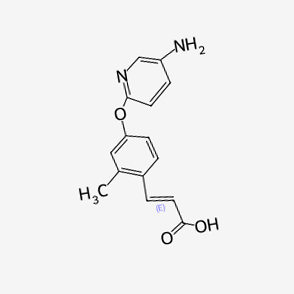 Cc1cc(Oc2ccc(N)cn2)ccc1/C=C/C(=O)O